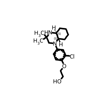 CC1(C)CN(c2ccc(OCCO)c(Cl)c2)[C@H]2CCCC[C@@H]2N1